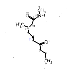 CCCC(=O)/C=C/CN(C)CC(=O)NC